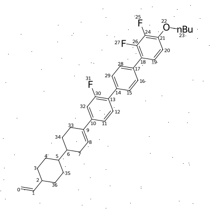 C=CC1CCC(C2CC=C(c3ccc(-c4ccc(-c5ccc(OCCCC)c(F)c5F)cc4)c(F)c3)CC2)CC1